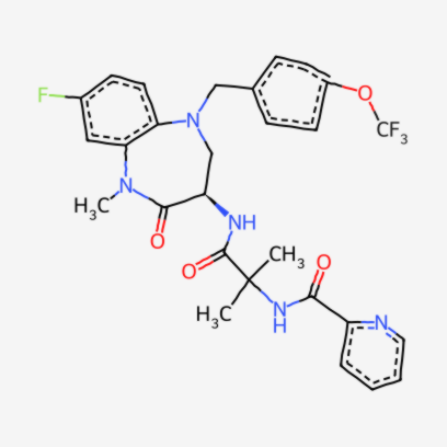 CN1C(=O)[C@H](NC(=O)C(C)(C)NC(=O)c2ccccn2)CN(Cc2ccc(OC(F)(F)F)cc2)c2ccc(F)cc21